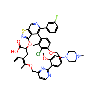 C=C/C(CC(Oc1nsc2cnc(-c3cccc(F)c3)c(-c3ccc(OCCN4CCN(C)CC4)c(Cl)c3C)c12)C(=O)O)=C(\C)OCc1ccnc(-c2ccccc2OC)n1